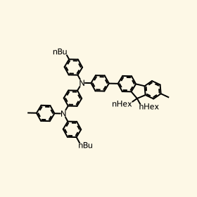 CCCCCCC1(CCCCCC)c2cc(C)ccc2-c2ccc(-c3ccc(N(c4ccc(CCCC)cc4)c4ccc(N(c5ccc(C)cc5)c5ccc(CCCC)cc5)cc4)cc3)cc21